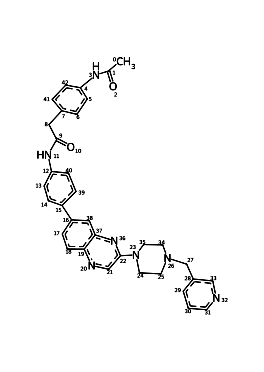 CC(=O)Nc1ccc(CC(=O)Nc2ccc(-c3ccc4ncc(N5CCN(Cc6cccnc6)CC5)nc4c3)cc2)cc1